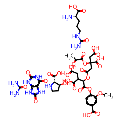 COc1cc(C(=O)O)ccc1OC(=O)C(OC(=O)CC(CC(=O)O)(OC(=O)C(C)=O)C(=O)O)C(CC(=O)O)C(=O)O.NC(=O)NCCC[C@H](N)C(=O)O.NC(N)=O.O=C(O)[C@H]1NCCC1O.O=c1[nH]c(=O)c2[nH]c(=O)[nH]c2[nH]1